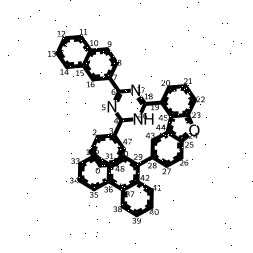 c1ccc(C2N=C(c3ccc4ccccc4c3)N=C(c3cccc4oc5ccc(-c6cc7ccccc7c7ccccc67)cc5c34)N2)cc1